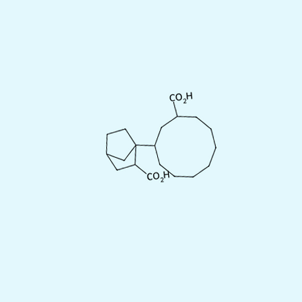 O=C(O)C1CCCCCCCC(C23CCC(CC2C(=O)O)C3)C1